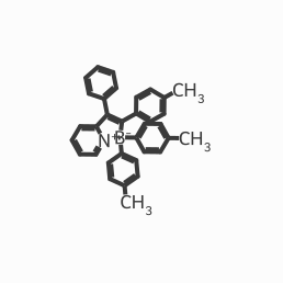 Cc1ccc(C2=C(c3ccccc3)c3cccc[n+]3[B-]2(c2ccc(C)cc2)c2ccc(C)cc2)cc1